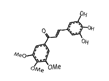 COc1cc(C(=O)/C=C/c2cc(O)c(O)c(O)c2)cc(OC)c1OC